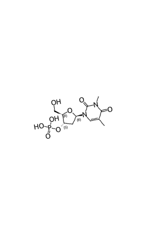 Cc1cn([C@H]2C[C@H](OP(=O)(O)O)[C@@H](CO)O2)c(=O)n(C)c1=O